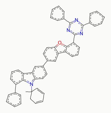 CC1(n2c3ccc(-c4ccc5oc6c(-c7nc(-c8ccccc8)nc(-c8ccccc8)n7)cccc6c5c4)cc3c3cccc(-c4ccccc4)c32)C=CC=CC1